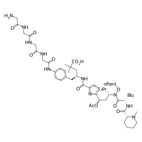 CCCCCON(C(=O)[C@@H](NC(=O)[C@H]1CCCCN1C)[C@@H](C)CC)[C@H](C[C@@H](OC(C)=O)c1nc(C(=O)N[C@@H](Cc2ccc(NC(=O)CNC(=O)CNC(=O)CNC(=O)CN)cc2)CC(C)(C)C(=O)O)cs1)C(C)C